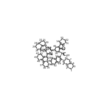 c1ccc2cc3c(cc2c1)CCC(c1cc(C2=NC(c4cccc5ccccc45)NC(c4cc5ccccc5c5ccccc45)=N2)cc2c1oc1ccccc12)c1cc2ccccc2cc1-3